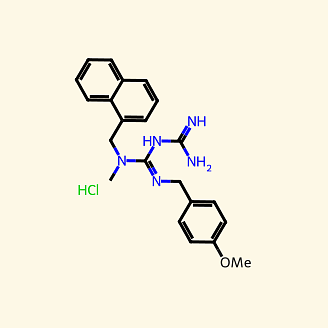 COc1ccc(CN=C(NC(=N)N)N(C)Cc2cccc3ccccc23)cc1.Cl